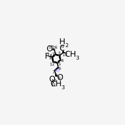 C=C(C)c1cc(/C=C/C(=O)OC)cc(F)c1C=O